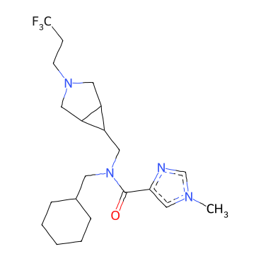 Cn1cnc(C(=O)N(CC2CCCCC2)CC2C3CN(CCC(F)(F)F)CC32)c1